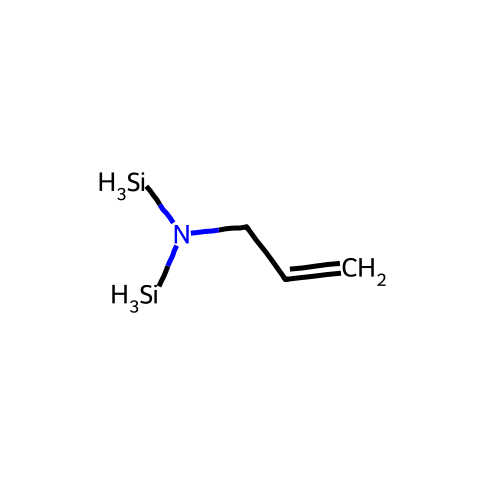 C=CCN([SiH3])[SiH3]